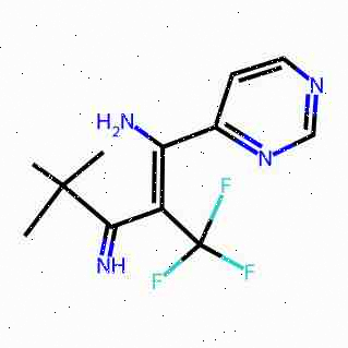 CC(C)(C)C(=N)/C(=C(\N)c1ccncn1)C(F)(F)F